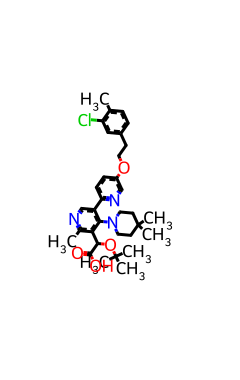 Cc1ccc(CCOc2ccc(-c3cnc(C)c(C(OC(C)(C)C)C(=O)O)c3N3CCC(C)(C)CC3)nc2)cc1Cl